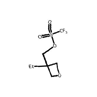 CCC1(COS(=O)(=O)C(F)(F)F)COC1